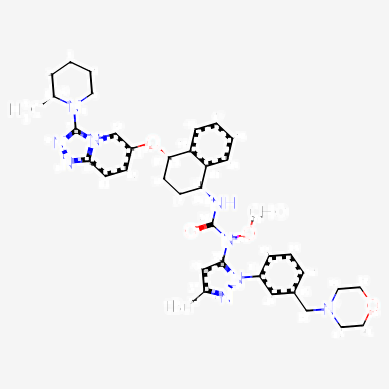 C[C@H]1CCCCN1c1nnc2ccc(O[C@@H]3CC[C@H](NC(=O)N(OC=O)c4cc(C(C)(C)C)nn4-c4cccc(CN5CCOCC5)c4)c4ccccc43)cn12